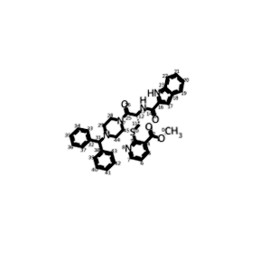 COC(=O)c1cccnc1SC[C@@H](NC(=O)c1cc2ccccc2[nH]1)C(=O)N1CCN(C(c2ccccc2)c2ccccc2)CC1